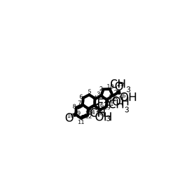 C[C@@H]1CC2C3CCC4=CC(=O)C=C[C@]4(C)[C@@]3(F)[C@@H](O)C[C@]2(C)[C@@]1(O)C(=O)O